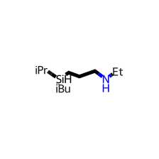 CCNCCC[SiH](C(C)C)C(C)CC